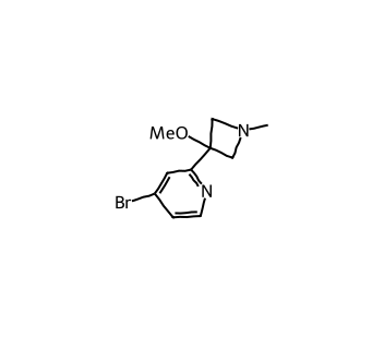 COC1(c2cc(Br)ccn2)CN(C)C1